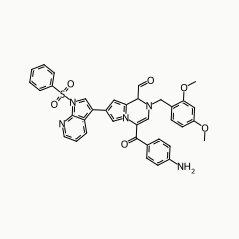 COc1ccc(CN2C=C(C(=O)c3ccc(N)cc3)n3cc(-c4cn(S(=O)(=O)c5ccccc5)c5ncccc45)cc3C2C=O)c(OC)c1